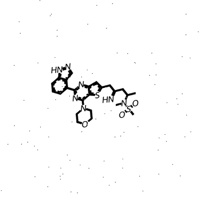 CC(CC(=N)Cc1cc2nc(-c3cccc4[nH]ncc34)nc(N3CCOCC3)c2s1)N(C)S(C)(=O)=O